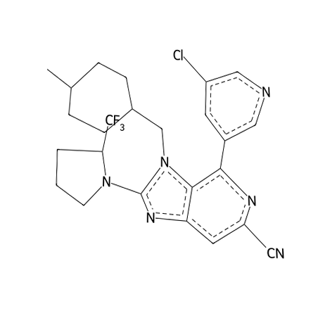 CC1CCC(Cn2c(N3CCCC3C(F)(F)F)nc3cc(C#N)nc(-c4cncc(Cl)c4)c32)CC1